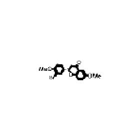 COc1ccc2c(c1)C(=O)C[C@@H](c1ccc(OC)c(Br)c1)O2